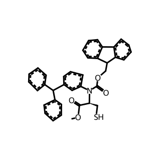 COC(=O)[C@H](CS)N(C(=O)OCC1c2ccccc2-c2ccccc21)c1cccc(C(c2ccccc2)c2ccccc2)c1